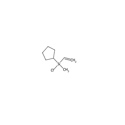 C=C[Si](C)(Cl)C1CCCC1